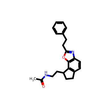 CC(=O)NCCC1CCc2ccc3nc(CCc4ccccc4)oc3c21